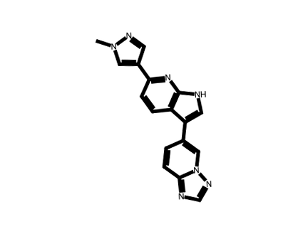 Cn1cc(-c2ccc3c(-c4ccc5ncnn5c4)c[nH]c3n2)cn1